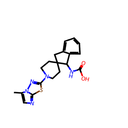 Cc1cnc2sc(N3CCC4(CC3)Cc3ccccc3C4NC(=O)O)nn12